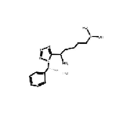 C[C@H](c1ccccc1)n1nnnc1C(N)CCCCB(O)O.Cl